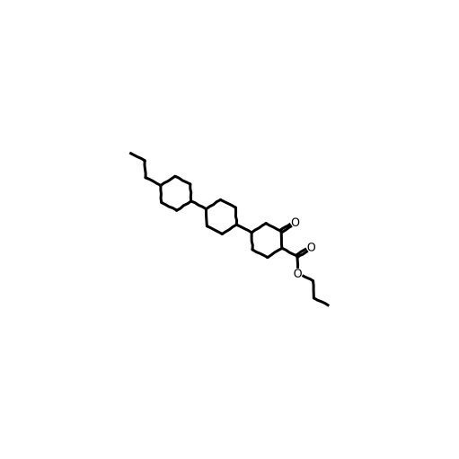 CCCOC(=O)C1CCC(C2CCC(C3CCC(CCC)CC3)CC2)CC1=O